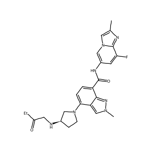 CCC(=O)CN[C@@H]1CCN(c2ccc(C(=O)Nc3cc(F)c4nc(C)cn4c3)c3nn(C)cc23)C1